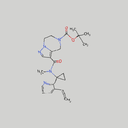 C=Cc1cccnc1C1(N(C)C(=O)c2cnn3c2CN(C(=O)OC(C)(C)C)CC3)CC1